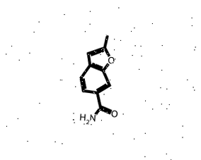 Cc1cc2ccc(C(N)=O)cc2o1